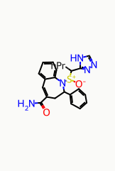 CCCC(c1nnc[nH]1)[S+]([O-])N1c2ccccc2C=C(C(N)=O)CC1c1ccccc1